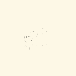 COc1ccccc1-c1ccc2ncc3c(c2n1)n(C1CCN(C(=O)[C@H](C)O)CC1)c(=O)n3C